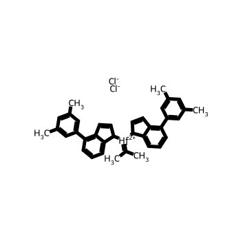 C[C](C)=[Hf+2]([CH]1C=Cc2c(-c3cc(C)cc(C)c3)cccc21)[CH]1C=Cc2c(-c3cc(C)cc(C)c3)cccc21.[Cl-].[Cl-]